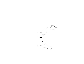 CC(=O)Nc1cc2ccccc2cc1/C=C/C(=O)N1CCN(Cc2ccc(F)cc2)CC1C